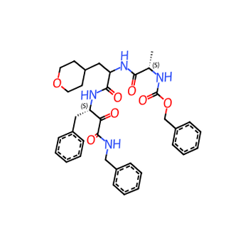 C[C@H](NC(=O)OCc1ccccc1)C(=O)NC(CC1CCOCC1)C(=O)N[C@@H](Cc1ccccc1)C(=O)C(=O)NCc1ccccc1